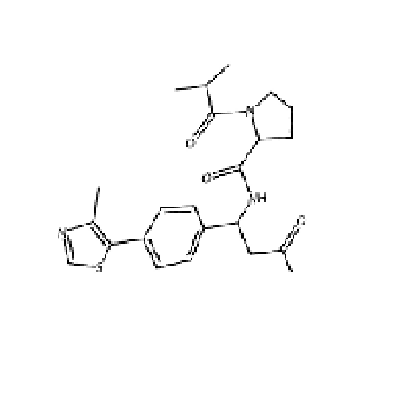 CC(=O)CC(NC(=O)C1CCCN1C(=O)C(C)C)c1ccc(-c2scnc2C)cc1